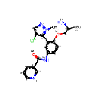 Cn1ncc(Cl)c1-c1cc(NC(=O)c2cccnc2)ccc1OCC(N)C(C)(C)C